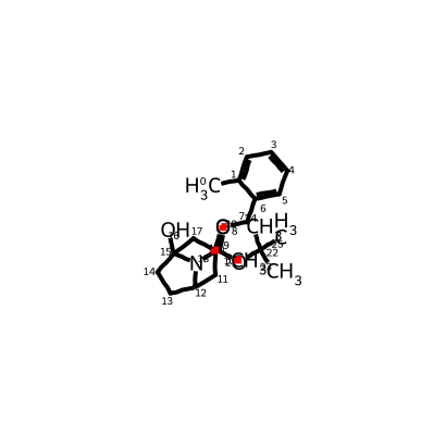 Cc1ccccc1CO[C@]1(C)CC2CCC(O)(C1)N2C(=O)OC(C)(C)C